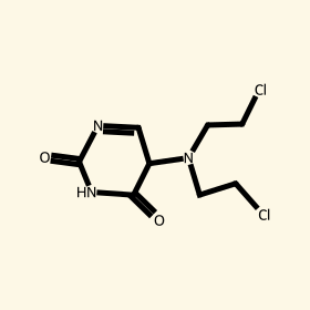 O=C1N=CC(N(CCCl)CCCl)C(=O)N1